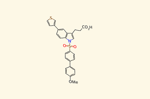 COc1ccc(-c2ccc(S(=O)(=O)n3cc(CCC(=O)O)c4cc(-c5ccsc5)ccc43)cc2)cc1